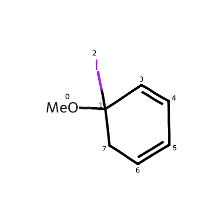 COC1(I)C=CC=CC1